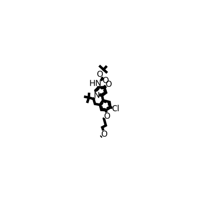 COCCCOc1cc2c(cc1Cl)-c1cc(=O)c(NC(=O)OC(C)(C)C)cn1C(C(C)(C)C)C2